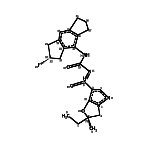 CC[C@@]1(C)Cn2ncc([SH](=O)=NC(=O)Nc3c4c(cc5c3C[C@H](F)C5)CCC4)c2O1